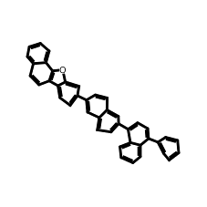 c1ccc(-c2ccc(-c3ccc4cc(-c5ccc6c(c5)oc5c7ccccc7ccc65)ccc4c3)c3ccccc23)cc1